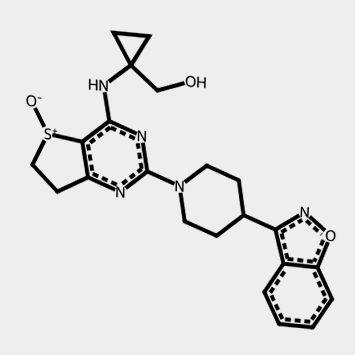 [O-][S+]1CCc2nc(N3CCC(c4noc5ccccc45)CC3)nc(NC3(CO)CC3)c21